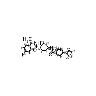 C[C@@H](NC(=O)[C@H]1CC[C@H](N[S+]([O-])c2ccc(-n3ccnc3)nc2)CC1)c1ccc(F)cc1